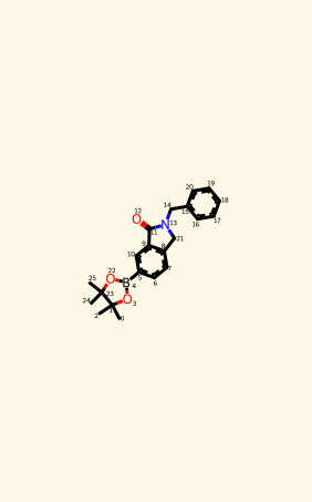 CC1(C)OB(c2ccc3c(c2)C(=O)N(Cc2ccccc2)C3)OC1(C)C